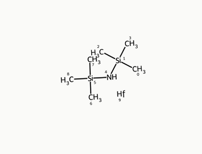 C[Si](C)(C)N[Si](C)(C)C.[Hf]